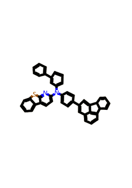 C1=CC2c3cccc4cc(-c5ccc(N(c6cccc(-c7ccccc7)c6)c6ccc7c(n6)sc6ccccc67)cc5)cc(c34)C2C=C1